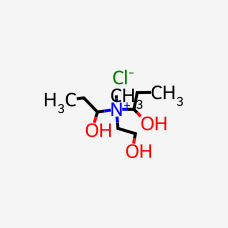 CCC(O)[N+](C)(CCO)C(O)CC.[Cl-]